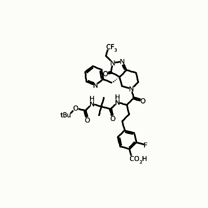 CC(C)(C)OC(=O)NC(C)(C)C(=O)NC(CCc1ccc(C(=O)O)c(F)c1)C(=O)N1CCC2=NN(CC(F)(F)F)C(=O)[C@]2(Cc2ccccn2)C1